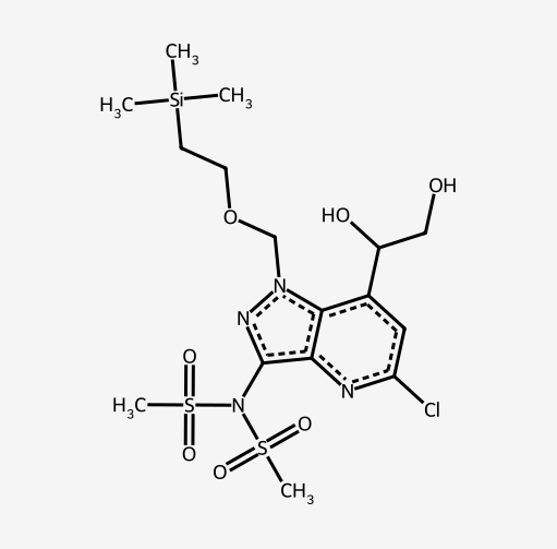 C[Si](C)(C)CCOCn1nc(N(S(C)(=O)=O)S(C)(=O)=O)c2nc(Cl)cc(C(O)CO)c21